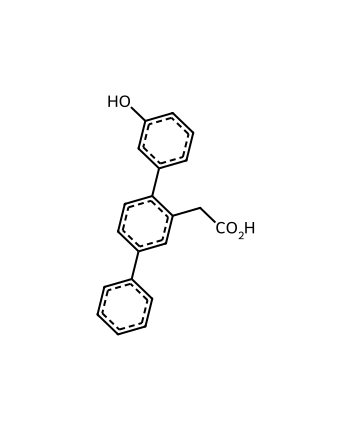 O=C(O)Cc1cc(-c2ccccc2)ccc1-c1cccc(O)c1